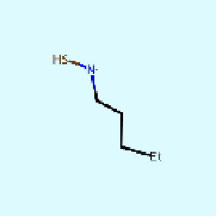 CCCCC[N]S